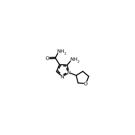 NC(=O)c1cnn(C2CCOC2)c1N